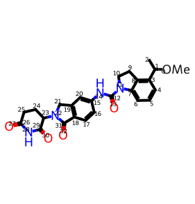 COC(C)c1cccc2c1CCN2C(=O)Nc1ccc2c(c1)CN(C1CCC(=O)NC1=O)C2=O